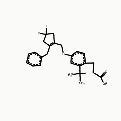 CC(F)(P)c1cc(OCC2=C(Cc3ccccc3)CC(F)(F)C2)ccc1CCC(=O)O